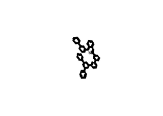 c1ccc(-c2cc(-c3ccccc3)cc(-c3cccc(-c4cccc(-c5cc6ccccc6c(-c6cccc(-c7ccccc7)c6)n5)c4)c3)c2)cc1